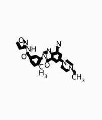 CCN1CCN(c2cc(C#N)c3ncn(-c4cc(C(=O)Nc5ccon5)ccc4C)c(=O)c3c2)CC1